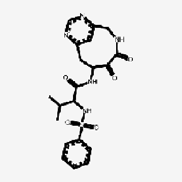 CC(C)C(NS(=O)(=O)c1ccccc1)C(=O)NC1Cc2cc(ncn2)CNC(=O)C1=O